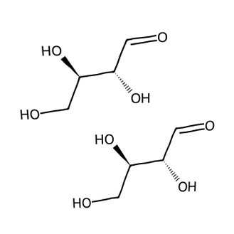 O=C[C@H](O)[C@H](O)CO.O=C[C@H](O)[C@H](O)CO